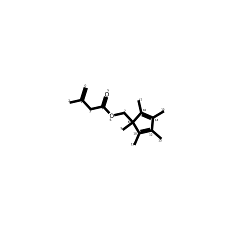 C=C(C)CC(=O)OCC1(C)C(C)=C(C)C(C)=C1C